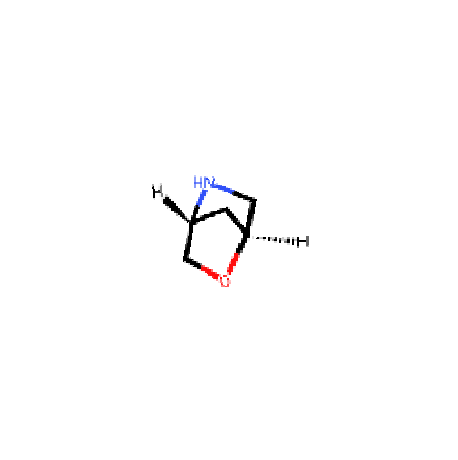 C1O[C@@H]2CN[C@@H]1C2